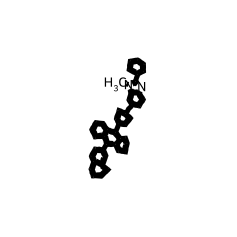 Cn1c(-c2ccccc2)nc2ccc(-c3ccc(-c4c5ccccc5c(-c5ccc6ccccc6c5)c5ccccc45)cc3)cc21